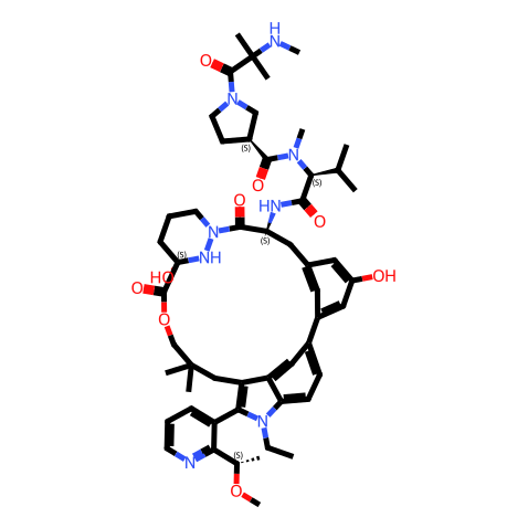 CCn1c(-c2cccnc2[C@H](C)OC)c2c3cc(ccc31)-c1cc(O)cc(c1)C[C@H](NC(=O)[C@H](C(C)C)N(C)C(=O)[C@H]1CCN(C(=O)C(C)(C)NC)C1)C(=O)N1CCC[C@@](O)(N1)C(=O)OCC(C)(C)C2